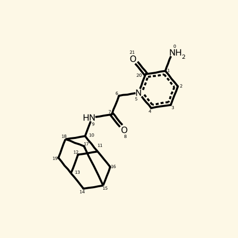 Nc1cccn(CC(=O)NC2C3CC4CC(C3)CC2C4)c1=O